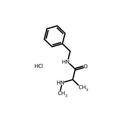 CNC(C)C(=O)NCc1ccccc1.Cl